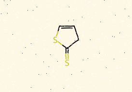 S=C1CC=CS1